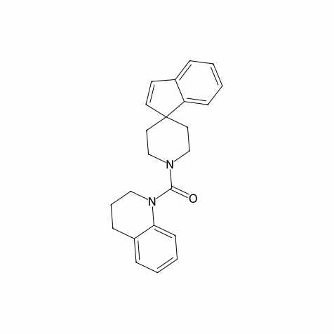 O=C(N1CCC2(C=Cc3ccccc32)CC1)N1CCCc2ccccc21